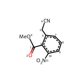 COC(=O)c1c(CC#N)cccc1[N+](=O)[O-]